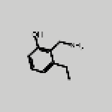 CCc1cccc(O)c1CN